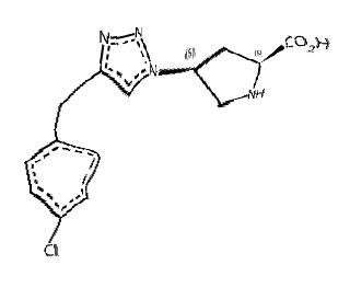 O=C(O)[C@@H]1C[C@H](n2cc(Cc3ccc(Cl)cc3)nn2)CN1